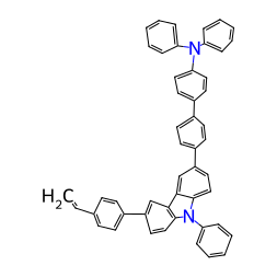 C=Cc1ccc(-c2ccc3c(c2)c2cc(-c4ccc(-c5ccc(N(c6ccccc6)c6ccccc6)cc5)cc4)ccc2n3-c2ccccc2)cc1